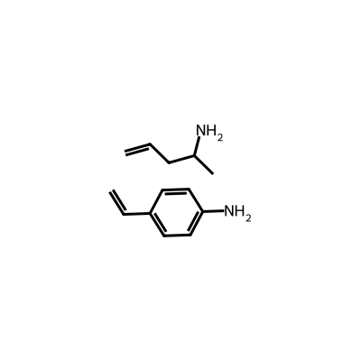 C=CCC(C)N.C=Cc1ccc(N)cc1